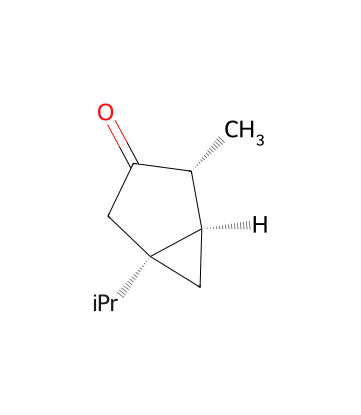 CC(C)[C@]12CC(=O)[C@H](C)[C@H]1C2